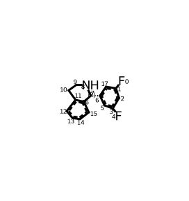 Fc1cc(F)cc([C@H]2NCCc3ccccc32)c1